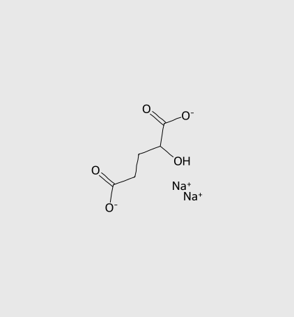 O=C([O-])CCC(O)C(=O)[O-].[Na+].[Na+]